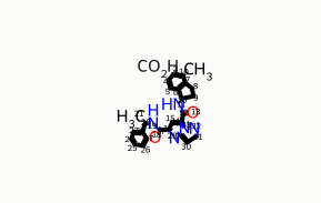 Cc1c(C(=O)O)ccc2c1CC[C@@H]2NC(=O)c1cc(C(=O)N[C@H](C)c2ccccc2)nc2ccnn12